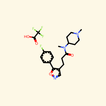 CN1CCC(N(C)C(=O)CCc2cnoc2-c2ccc(F)cc2)CC1.O=C(O)C(F)(F)F